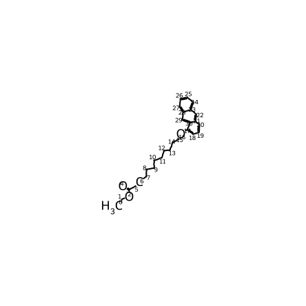 CCOC(=O)CCCCCCCCCCCOc1cccc2cc3ccccc3cc12